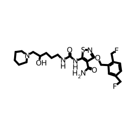 NC(=O)c1c(OCc2cc(CF)ccc2CF)nsc1NC(=O)NCCCC(O)CN1CCCCC1